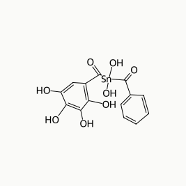 O=[C](c1ccccc1)[Sn]([OH])([OH])[C](=O)c1cc(O)c(O)c(O)c1O